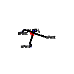 CCCCCC=CCC=CCCCCCCCCC(CCCCCCCC/C=C\C/C=C\CCCCC)(CN(C)C)C(=O)OCCCCCCCC/C=C\C/C=C\CCCCC